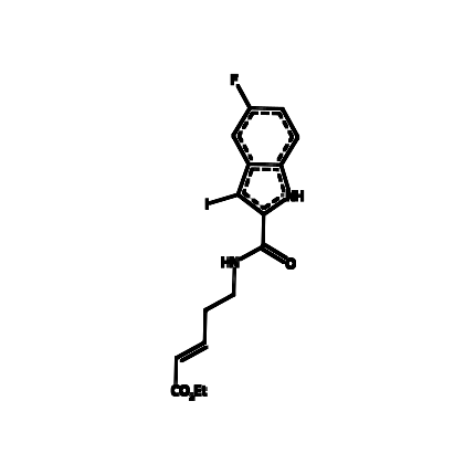 CCOC(=O)/C=C/CCNC(=O)c1[nH]c2ccc(F)cc2c1I